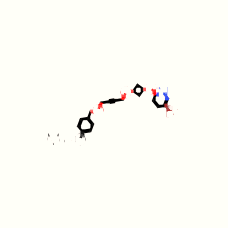 COc1ccc(COCC#CCOC2CC(Oc3ccc(Br)cn3)C2)cc1